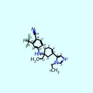 CCn1cncc1C1=CCCC(CC)(Nc2ccc(C#N)c(C(F)(F)F)c2)C1